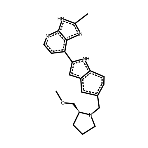 COC[C@@H]1CCCN1Cc1ccc2[nH]c(-c3ccnc4[nH]c(C)nc34)cc2c1